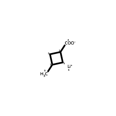 CC1CC(C(=O)[O-])C1.[Li+]